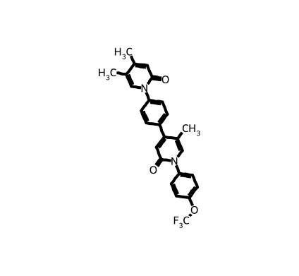 Cc1cc(=O)n(-c2ccc(-c3cc(=O)n(-c4ccc(OC(F)(F)F)cc4)cc3C)cc2)cc1C